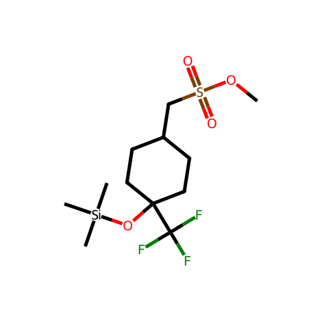 COS(=O)(=O)CC1CCC(O[Si](C)(C)C)(C(F)(F)F)CC1